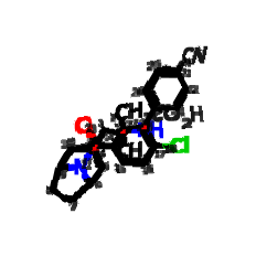 CC(C)(CC1CC2CCC(C1)N2C(=O)c1ccc(Cl)c(-c2ccc(C#N)cc2)c1)NC(=O)O